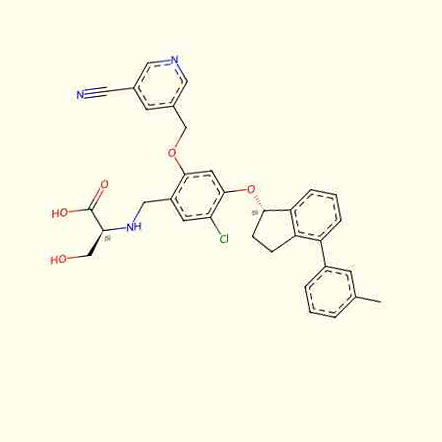 Cc1cccc(-c2cccc3c2CC[C@@H]3Oc2cc(OCc3cncc(C#N)c3)c(CN[C@@H](CO)C(=O)O)cc2Cl)c1